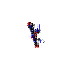 CC(C)c1ccccc1[C@@H]1CS(=O)(=O)CCN1C1CC2(CCN(c3ccc(C(=O)NS(=O)(=O)c4cnc(NCC5CCC(C)(O)CC5)c([N+](=O)[O-])c4)c(Oc4cnc5[nH]ccc5c4)c3)CC2)C1